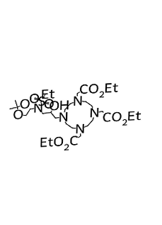 CCOC(=O)CN1CCN(CC(=O)OCC)CCN(CC(O)CN(C2COC(C)(C)O2)S(=O)(=O)CC)CCN(CC(=O)OCC)CC1